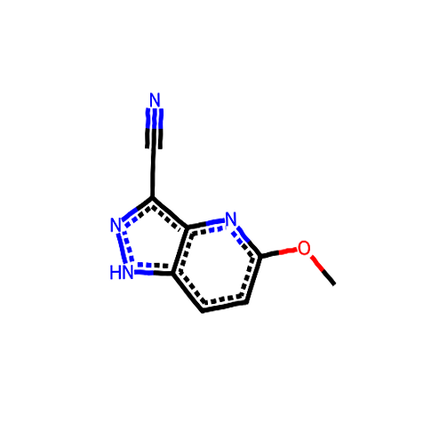 COc1ccc2[nH]nc(C#N)c2n1